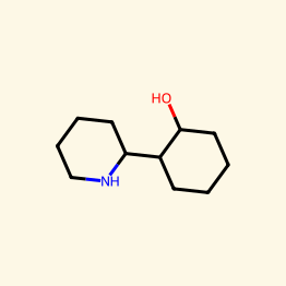 OC1CCCCC1C1CCCCN1